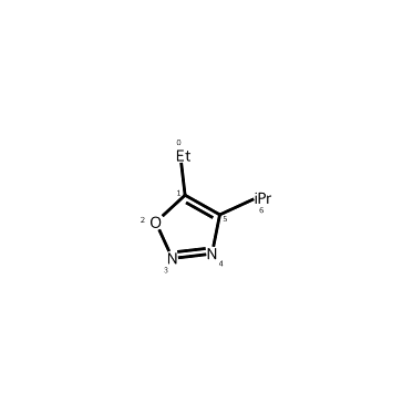 CCc1onnc1C(C)C